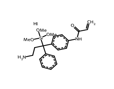 C=CC(=O)Nc1ccc(C(CCN)(c2ccccc2)[Si](OC)(OC)OC)cc1.I